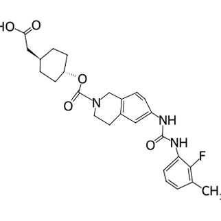 Cc1cccc(NC(=O)Nc2ccc3c(c2)CCN(C(=O)O[C@H]2CC[C@H](CC(=O)O)CC2)C3)c1F